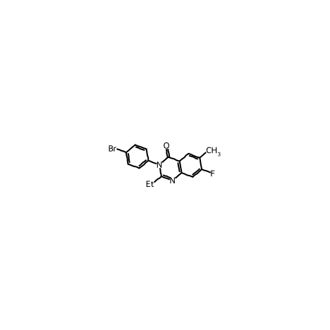 CCc1nc2cc(F)c(C)cc2c(=O)n1-c1ccc(Br)cc1